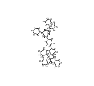 c1ccc(-c2nc(-c3ccc(-c4ccc5c(c4)C4(c6ccccc6-c6ccccc64)c4oc6ccccc6c4-5)cc3)nc(-c3cccc4ccccc34)n2)cc1